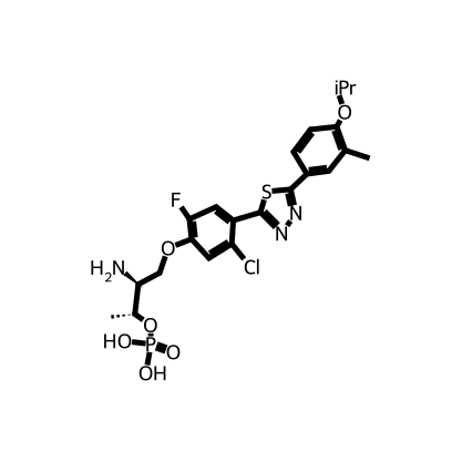 Cc1cc(-c2nnc(-c3cc(F)c(OC[C@H](N)[C@@H](C)OP(=O)(O)O)cc3Cl)s2)ccc1OC(C)C